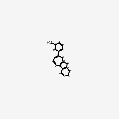 Bc1cccc(C2=CC=CC3=C(C2)CC2=C3C=CCC2)c1